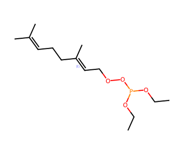 CCOP(OCC)OOC/C=C(\C)CCC=C(C)C